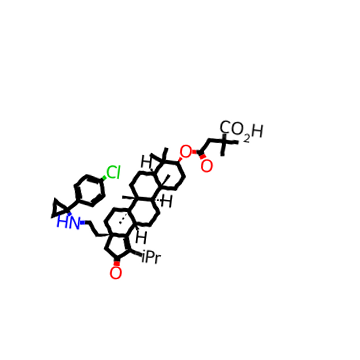 CC(C)C1=C2[C@H]3CC[C@@H]4[C@@]5(C)CC[C@H](OC(=O)CC(C)(C)C(=O)O)C(C)(C)[C@@H]5CC[C@@]4(C)[C@]3(C)CC[C@@]2(CCNC2(c3ccc(Cl)cc3)CC2)CC1=O